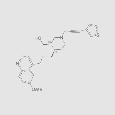 COc1ccc2nccc(CCC[C@@H]3CCN(CC#Cc4ccsc4)C[C@@H]3CO)c2c1